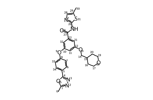 Cc1nnc(-c2ccc(Oc3cc(OCC4CCOCC4)cc(C(=O)Nc4ncc(C)s4)c3)cc2)o1